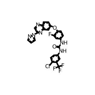 O=C(Nc1ccc(Oc2ccc3ncc(-n4cccn4)nc3c2)c(F)c1)Nc1ccc(Cl)c(C(F)(F)F)c1